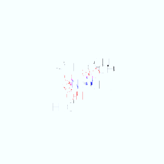 CC=CCC1(C(=O)O)C[C@@H](N(C)C(=O)OC(C)(C)C)CN1C(=O)OCc1ccccc1